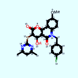 COc1ccc2c(c1)c1oc(=O)c(Sc3nc(C)cc(C)n3)c(O)c1c(=O)n2Cc1ccc(F)cc1